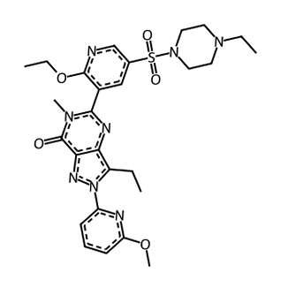 CCOc1ncc(S(=O)(=O)N2CCN(CC)CC2)cc1-c1nc2c(CC)n(-c3cccc(OC)n3)nc2c(=O)n1C